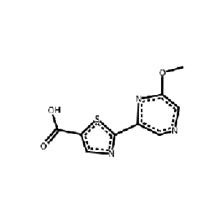 COc1cncc(-c2ncc(C(=O)O)s2)n1